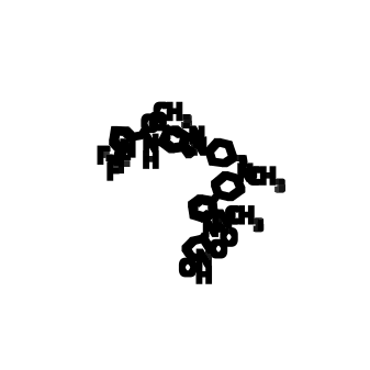 COc1cc2nn([C@H]3CC[C@H](CN(C)[C@H]4CC[C@H](c5cccc6c5n(C)c(=O)n6C5CCC(=O)NC5=O)CC4)CC3)cc2cc1NC(=O)c1cccc(C(F)(F)F)n1